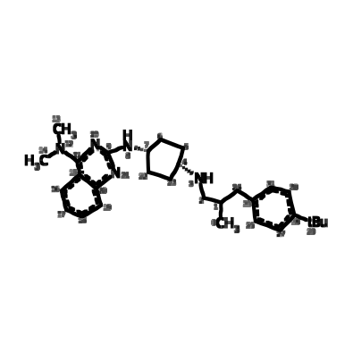 CC(CN[C@H]1CC[C@@H](Nc2nc(N(C)C)c3ccccc3n2)CC1)Cc1ccc(C(C)(C)C)cc1